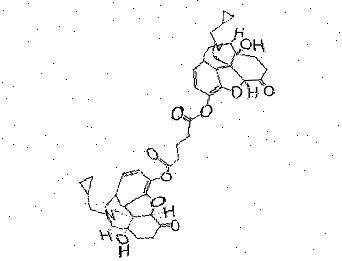 O=C(CCCC(=O)OC1=C2O[C@H]3C(=O)CC[C@@]4(O)[C@H]5CC(C=C1)C2[C@@]34CCN5CC1CC1)OC1=C2O[C@H]3C(=O)CC[C@@]4(O)[C@H]5CC(C=C1)C2[C@@]34CCN5CC1CC1